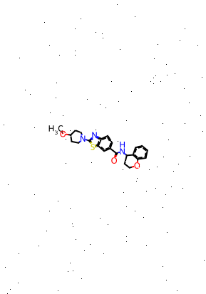 COC1CCN(c2nc3ccc(C(=O)NC4CCOc5ccccc54)cc3s2)CC1